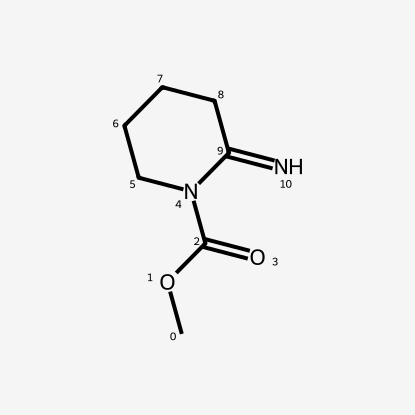 COC(=O)N1CCCCC1=N